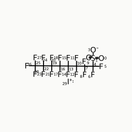 O=S(=O)([O-])C(F)(F)C(F)(F)C(F)(F)C(F)(F)C(F)(F)C(F)(F)C(F)(F)C(F)(F)F.[I+]